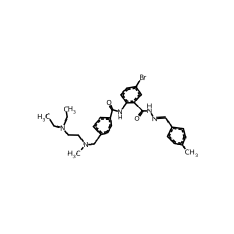 CCN(CC)CCN(C)Cc1ccc(C(=O)Nc2ccc(Br)cc2C(=O)NN=Cc2ccc(C)cc2)cc1